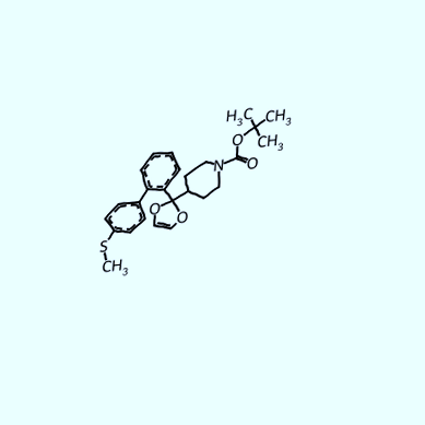 CSc1ccc(-c2ccccc2C2(C3CCN(C(=O)OC(C)(C)C)CC3)OC=CO2)cc1